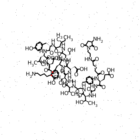 CC[C@H](C)[C@H](NC(=O)[C@H](CO)NC(=O)[C@H](Cc1ccc(O)cc1)NC(=O)[C@H](CC(=O)O)NC(=O)[C@H](CO)NC(=O)[C@@H](NC(=O)[C@H](Cc1ccccc1)NC(=O)[C@@H](NC(=O)CNC(=O)[C@H](CCC(=O)O)NC(=O)CSCC(=O)NCCN1C(=O)CC(N)C1=O)[C@@H](C)O)[C@@H](C)O)C(=O)N[C@@H](Cc1ccc(O)cc1)C(=O)N[C@@H](CC(C)C)C(=O)N[C@@H](CC(=O)O)C(=O)N[C@H](C)CCCCN